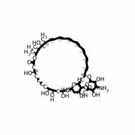 CC1OC(O[C@H]2/C=C/C=C/C=C/C=C/C=C/C=C/C=C/[C@H](C)[C@@H](O)[C@@H](C)[C@H](C)OC(=O)C[C@H](O)CCCC[C@@H](O)[C@H](O)C[C@H](O)C[C@]3(O)C[C@H](O)C(C(=O)O)[C@H](C2)O3)C(O)C(N)C1O